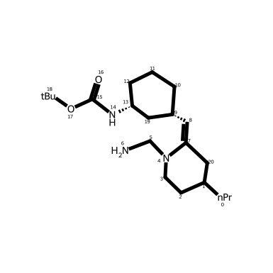 CCCC1CCN(CN)/C(=C\[C@H]2CCC[C@@H](NC(=O)OC(C)(C)C)C2)C1